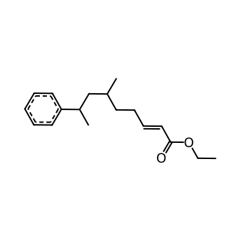 CCOC(=O)C=CCCC(C)CC(C)c1ccccc1